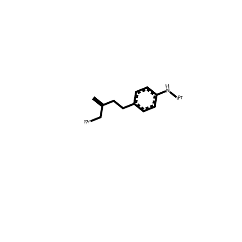 C=C(CCc1ccc(NC(C)C)cc1)CC(C)C